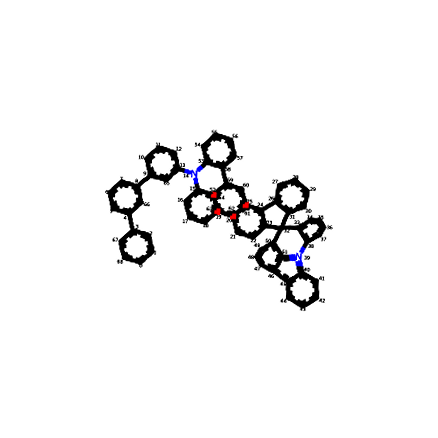 c1ccc(-c2cccc(-c3cccc(N(c4cccc(-c5ccc6c(c5)-c5ccccc5C65c6ccccc6-n6c7ccccc7c7cccc5c76)c4)c4ccccc4-c4ccccc4)c3)c2)cc1